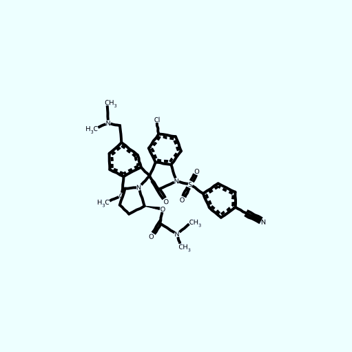 COc1ccc(CN(C)C)cc1C1(N2CCC[C@@H]2OC(=O)N(C)C)C(=O)N(S(=O)(=O)c2ccc(C#N)cc2)c2ccc(Cl)cc21